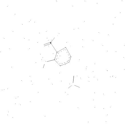 O=C(O)c1ccccc1OI.[Li+].[Li+].[Li+].[O-]B([O-])[O-]